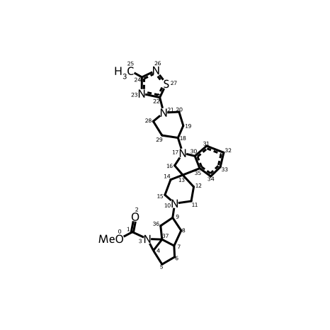 COC(=O)N1C2CCC3CC(N4CCC5(CC4)CN(C4CCN(c6nc(C)ns6)CC4)c4ccccc45)CC321